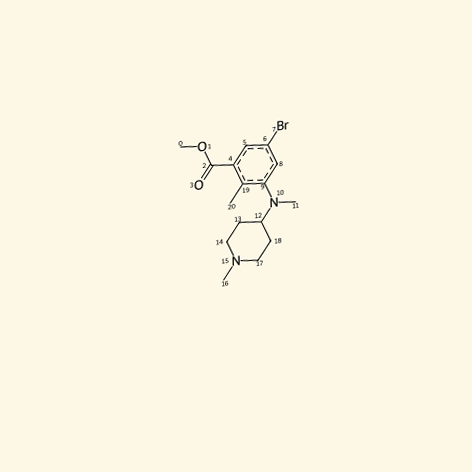 COC(=O)c1cc(Br)cc(N(C)C2CCN(C)CC2)c1C